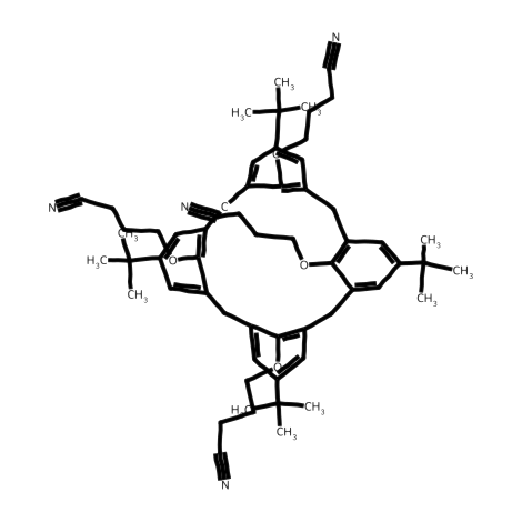 CC(C)(C)c1cc2c(OCCCC#N)c(c1)Cc1cc(C(C)(C)C)cc(c1OCCCC#N)Cc1cc(C(C)(C)C)cc(c1OCCCC#N)Cc1cc(C(C)(C)C)cc(c1OCCCC#N)C2